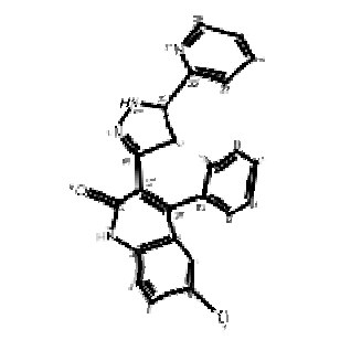 O=c1[nH]c2ccc(Cl)cc2c(-c2ccccc2)c1C1=NNC(c2ccccn2)C1